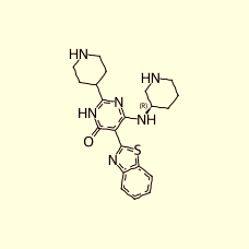 O=c1[nH]c(C2CCNCC2)nc(N[C@@H]2CCCNC2)c1-c1nc2ccccc2s1